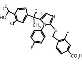 CC(O)c1ccc(C(C)(C)c2cnc(SCc3ccc(C(=O)O)cc3F)n2-c2ccc(F)cc2)cc1Cl